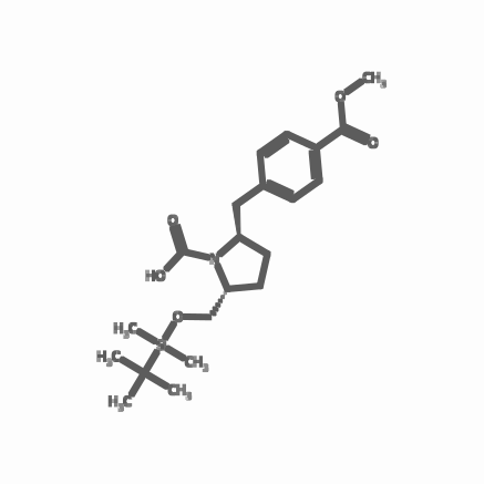 COC(=O)c1ccc(C[C@H]2CC[C@H](CO[Si](C)(C)C(C)(C)C)N2C(=O)O)cc1